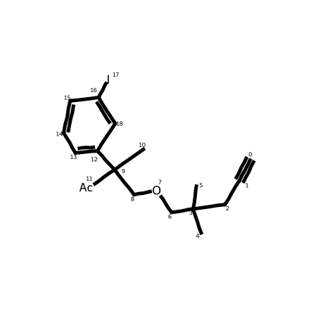 C#CCC(C)(C)COCC(C)(C(C)=O)c1cccc(I)c1